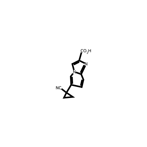 N#CC1(c2ccc3nc(C(=O)O)cn3c2)CC1